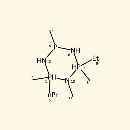 CCC[PH]1(C)NP(C)N[PH](C)(CC)N1C